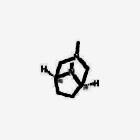 CN1C[C@H]2CC[C@@H](C1)N2C